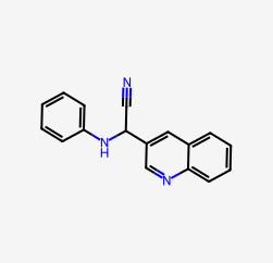 N#CC(Nc1ccccc1)c1cnc2ccccc2c1